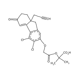 C#CCC12CCC(=O)C=C1c1c(cc(OCC(=O)OC(C)(C)C(=O)O)c(Cl)c1Cl)C2